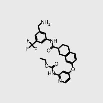 CCOC(=O)Nc1cc(Oc2ccc3c(c2)CC(C(=O)Nc2cc(CN)cc(C(F)(F)F)c2)CC3)ccn1